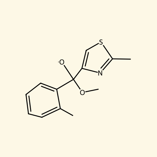 COC([O])(c1csc(C)n1)c1ccccc1C